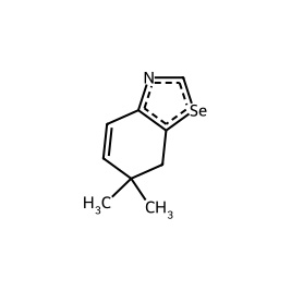 CC1(C)C=Cc2nc[se]c2C1